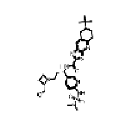 CN(C)S(=O)(=O)Nc1ccc([C@@H](CCN2CC[C@H]2CO)NC(=O)c2nc3cc4c(nc3s2)CC[C@H](C(C)(C)C)C4)cn1